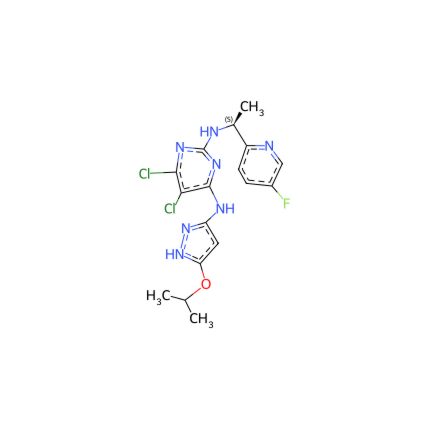 CC(C)Oc1cc(Nc2nc(N[C@@H](C)c3ccc(F)cn3)nc(Cl)c2Cl)n[nH]1